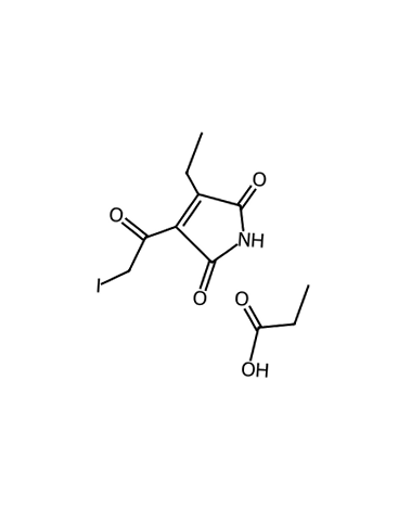 CCC(=O)O.CCC1=C(C(=O)CI)C(=O)NC1=O